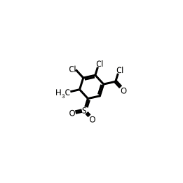 CC1C(Cl)=C(Cl)C(C(=O)Cl)=CC1=S(=O)=O